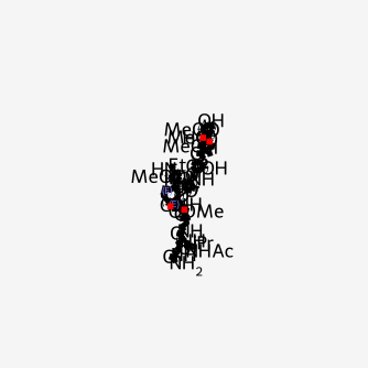 CCN[C@H]1CO[C@@H](O[C@H]2[C@H](O[C@H]3C#C/C=C/C#C[C@]4(O)CC(=O)C(NC(=O)OC)=C3/C4=C\CSSC(C)(C)CCNC(=O)[C@H](CCCNC(N)=O)NC(=O)[C@@H](NC(C)=O)C(C)C)O[C@H](C)[C@@H](NO[C@H]3C[C@H](O)[C@H](SC(=O)c4c(C)c(I)c(O[C@@H]5O[C@@H](C)[C@H](O)[C@@H](OC)[C@H]5O)c(OC)c4OC)[C@@H](C)O3)[C@@H]2O)C[C@@H]1OC